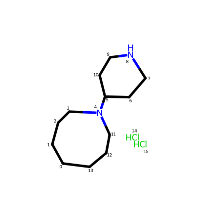 C1CCCN(C2CCNCC2)CCC1.Cl.Cl